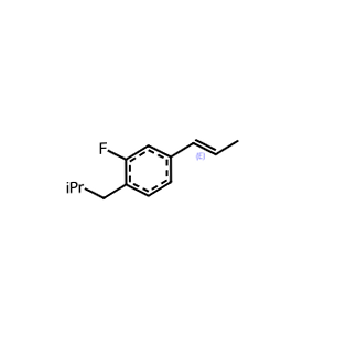 C/C=C/c1ccc(CC(C)C)c(F)c1